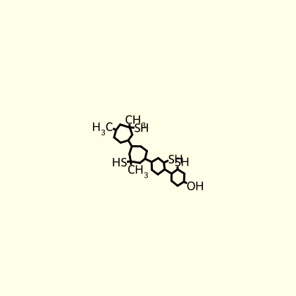 CC1CCC(C2CCC(C3CCC(C4CCC(O)CC4S)C(S)C3)CC(C)(S)C2)CC(C)(S)C1